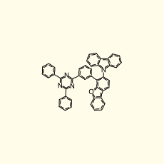 c1ccc(-c2nc(-c3ccccc3)nc(-c3cccc(-c4c(-n5c6ccccc6c6ccccc65)ccc5c4oc4ccccc45)c3)n2)cc1